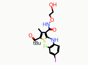 Cc1c(C(=O)C(C)(C)C)sc(Nc2ccc(I)cc2F)c1C(=O)NOCCO